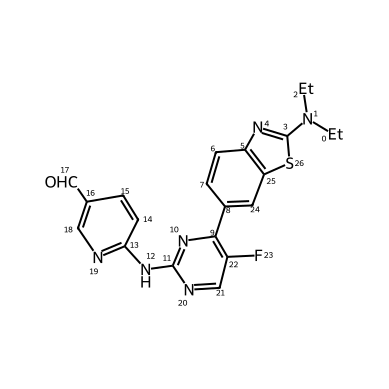 CCN(CC)c1nc2ccc(-c3nc(Nc4ccc(C=O)cn4)ncc3F)cc2s1